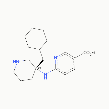 CCOC(=O)c1ccc(N[C@]2(CC3CCCCC3)CCCNC2)nc1